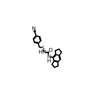 N#Cc1ccc(CSNC(=O)Nc2c3c(cc4c2CCC4)CCC3)cc1